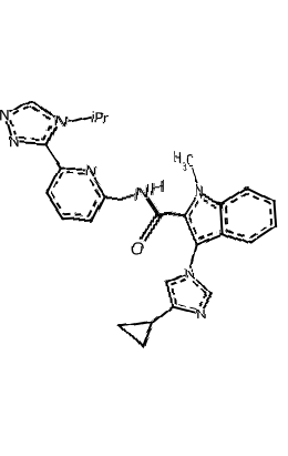 CC(C)n1cnnc1-c1cccc(NC(=O)c2c(-n3cnc(C4CC4)c3)c3ccccc3n2C)n1